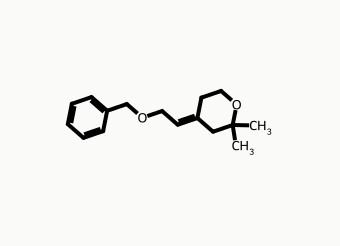 CC1(C)CC(=CCOCc2ccccc2)CCO1